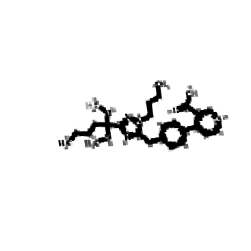 CCCCn1nc(C(CCCC)(OC)OC)nc1Cc1ccc(-c2ccncc2C(=O)O)cc1